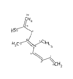 C=C/C=C\C(C)=C(/C)CC(=C)S